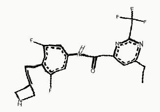 CCc1cc(C(=O)Nc2cc(F)c(C=C3CNC3)c(F)c2)nc(C(F)(F)F)n1